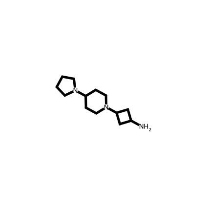 NC1CC(N2CCC(N3CCCC3)CC2)C1